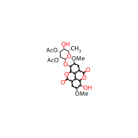 COc1cc2c(=O)oc3c(O[C@@H]4O[C@@H](C)[C@H](O)[C@@H](OC(C)=O)[C@H]4OC(C)=O)c(OC)cc4c(=O)oc(c1O)c2c34